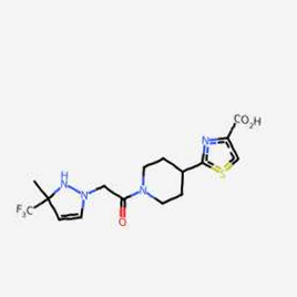 CC1(C(F)(F)F)C=CN(CC(=O)N2CCC(c3nc(C(=O)O)cs3)CC2)N1